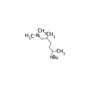 CCCCC(C)CCC(C)CN(C)C